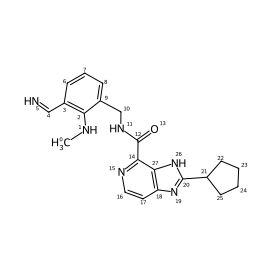 CNc1c(C=N)cccc1CNC(=O)c1nccc2nc(C3CCCC3)[nH]c12